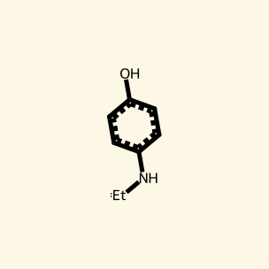 C[C]Nc1ccc(O)cc1